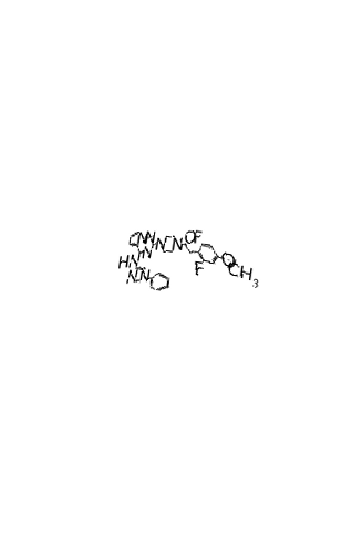 COc1cc(F)c(CC(=O)N2CCN(c3nc(Nc4cn(-c5ccccc5)cn4)c4cccn4n3)CC2)c(F)c1